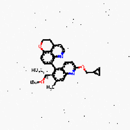 Cc1cc2nc(OCC3CC3)ccc2c(-c2ccc3c4c(ccnc24)CCO3)c1[C@H](OC(C)(C)C)C(=O)O